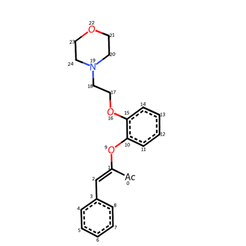 CC(=O)/C(=C\c1ccccc1)Oc1ccccc1OCCN1CCOCC1